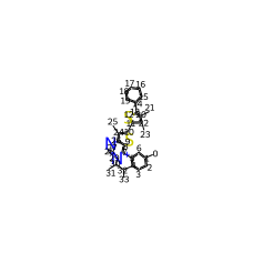 Cc1ccc2c(c1)-c1c3sc(-c4sc(-c5ccccc5)c(C)c4C)c(C)c3nc[n+]1C(C)C2C